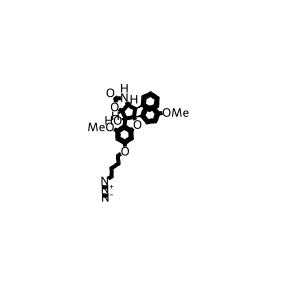 COc1ccc([C@@]23Oc4cc(OCCCCN=[N+]=[N-])cc(OC)c4[C@]2(O)[C@@H]2OC(=O)N[C@@H]2[C@H]3c2ccccc2)cc1